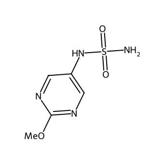 COc1ncc(NS(N)(=O)=O)cn1